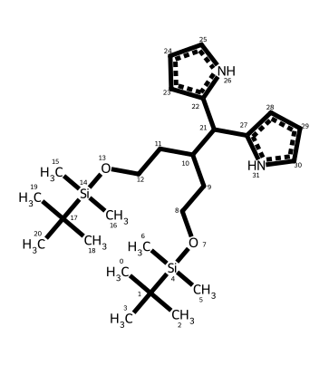 CC(C)(C)[Si](C)(C)OCCC(CCO[Si](C)(C)C(C)(C)C)C(c1ccc[nH]1)c1ccc[nH]1